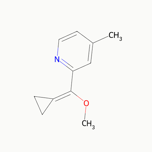 COC(=C1CC1)c1cc(C)ccn1